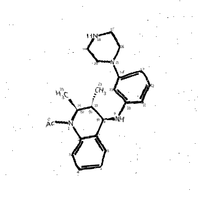 CC(=O)N1c2ccccc2[C@H](Nc2cccc(N3CCNCC3)c2)[C@@H](C)[C@@H]1C